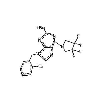 CC(C)(C)c1nc(N2CC(F)(F)C(F)(F)C2)c2ncn(Cc3ccccc3Cl)c2n1